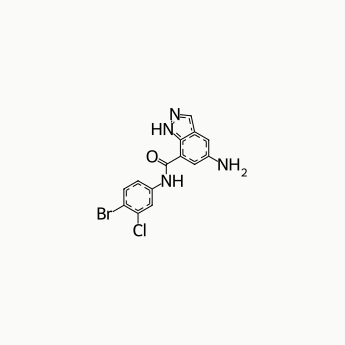 Nc1cc(C(=O)Nc2ccc(Br)c(Cl)c2)c2[nH]ncc2c1